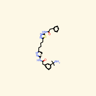 CC(C)(N)c1cccc(CC(=O)Nc2ccc(CCCCc3nnc(NC(=O)Cc4ccccc4)s3)nn2)c1